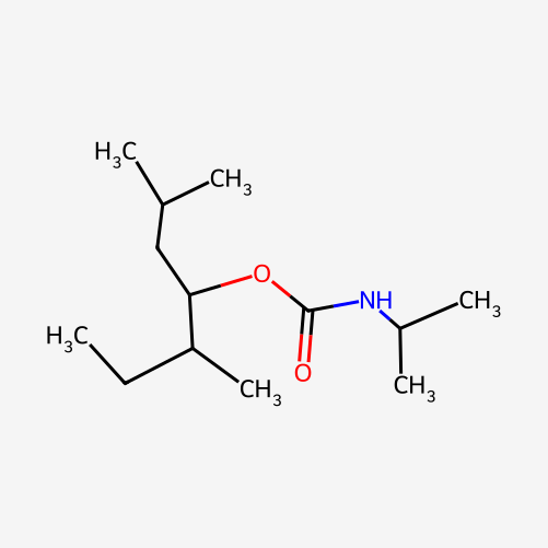 CCC(C)C(CC(C)C)OC(=O)NC(C)C